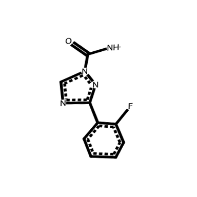 [NH]C(=O)n1cnc(-c2ccccc2F)n1